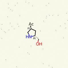 CC(=O)[C@@H]1CN[C@@H](CO)C1